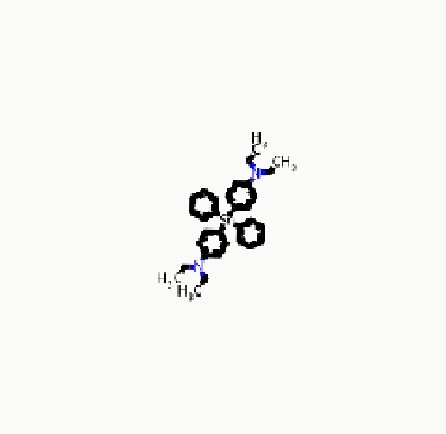 CCN(CC)c1cc[c]([Sn]([c]2ccccc2)([c]2ccccc2)[c]2ccc(N(CC)CC)cc2)cc1